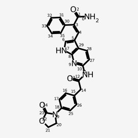 NC(=O)/C(=C/c1c[nH]c2nc(NC(=O)Cc3ccc(N4CCOC4=O)cc3)ccc12)c1ccccc1